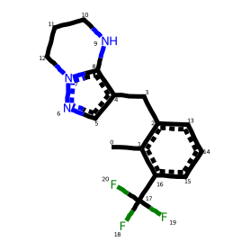 Cc1c(Cc2cnn3c2NCCC3)cccc1C(F)(F)F